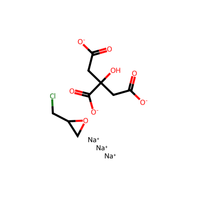 ClCC1CO1.O=C([O-])CC(O)(CC(=O)[O-])C(=O)[O-].[Na+].[Na+].[Na+]